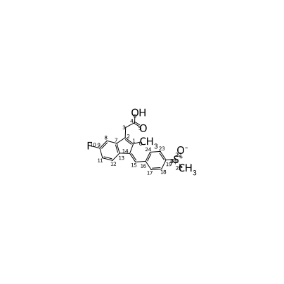 CC1=C(CC(=O)O)c2cc(F)ccc2C1=Cc1ccc([S@+](C)[O-])cc1